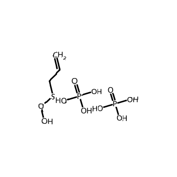 C=CCSOO.O=P(O)(O)O.O=P(O)(O)O